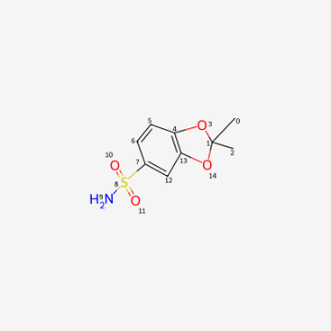 CC1(C)Oc2ccc(S(N)(=O)=O)cc2O1